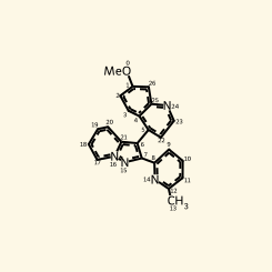 COc1ccc2c(-c3c(-c4cccc(C)n4)nn4ccccc34)ccnc2c1